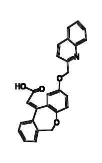 O=C(O)C=C1c2ccccc2COc2ccc(OCc3ccc4ccccc4n3)cc21